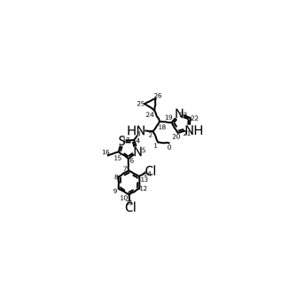 CCC(Nc1nc(-c2ccc(Cl)cc2Cl)c(C)s1)C(c1c[nH]cn1)C1CC1